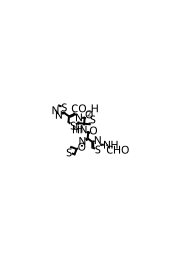 O=CNc1nc(C(=NOC2CSC2)C(=O)NC2(C=S)C(=O)N3C(C(=O)O)=C(c4nncs4)CS[C@H]32)cs1